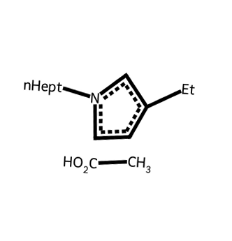 CC(=O)O.CCCCCCCn1ccc(CC)c1